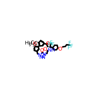 COc1ccc(Cn2nnn(CC(=O)N[C@@](CC(=O)c3ccc(C)cc3)(C3CCC(OCCCC(F)(F)F)CC3)C(F)(F)F)c2=O)cc1